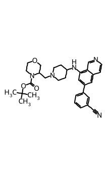 CC(C)(C)OC(=O)N1CCOCC1CN1CCC(Nc2cc(-c3cccc(C#N)c3)cc3ccncc23)CC1